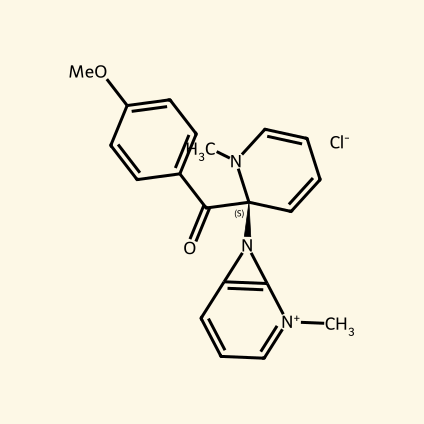 COc1ccc(C(=O)[C@@]2(N3c4ccc[n+](C)c43)C=CC=CN2C)cc1.[Cl-]